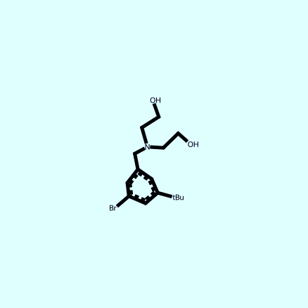 CC(C)(C)c1cc(Br)cc(CN(CCO)CCO)c1